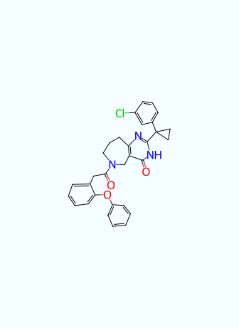 O=C(Cc1ccccc1Oc1ccccc1)N1CCCc2nc(C3(c4cccc(Cl)c4)CC3)[nH]c(=O)c2C1